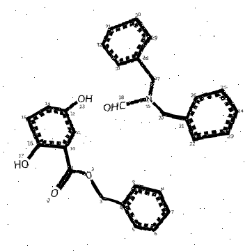 O=C(OCc1ccccc1)c1cc(O)ccc1O.O=CN(Cc1ccccc1)Cc1ccccc1